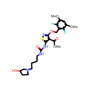 COC(=O)c1c(OCc2c(F)c(OC)cc(OC)c2F)nsc1NC(=O)NCCCCN1CC[C@@H](O)C1